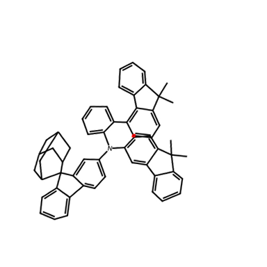 CC1(C)c2ccccc2-c2cc(N(c3ccc4c(c3)C3(c5ccccc5-4)C4CC5CC(C4)CC3C5)c3ccccc3-c3cccc4c3-c3ccccc3C4(C)C)ccc21